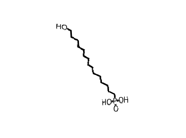 O=P(O)(O)CCCCCCCCCCCCCCCO